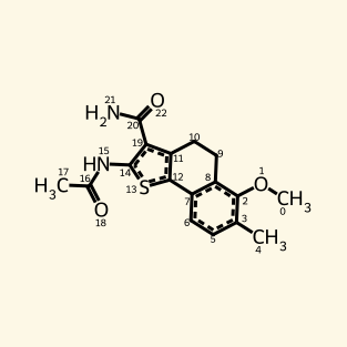 COc1c(C)ccc2c1CCc1c-2sc(NC(C)=O)c1C(N)=O